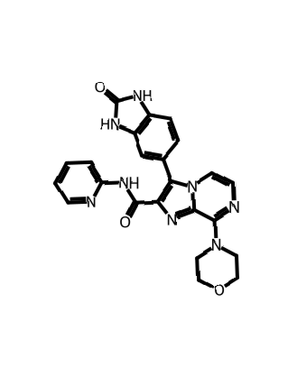 O=C(Nc1ccccn1)c1nc2c(N3CCOCC3)nccn2c1-c1ccc2[nH]c(=O)[nH]c2c1